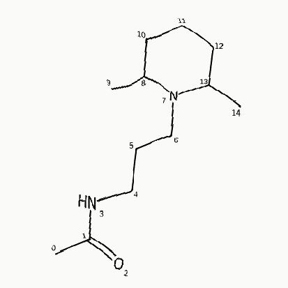 CC(=O)NCCCN1C(C)CCCC1C